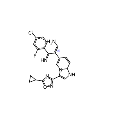 N=C(/C(=C\N)C1=CN2C(c3noc(C4CC4)n3)=CNC2C=C1)c1ccc(Cl)cc1F